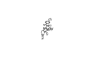 O=c1c2c(nc(NC3(c4ccc(Cl)cc4)CC3)n1O)CCNC2